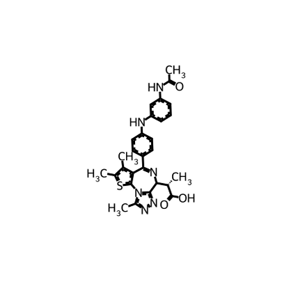 CC(=O)Nc1cccc(Nc2ccc(C3=NC([C@H](C)C(=O)O)c4nnc(C)n4-c4sc(C)c(C)c43)cc2)c1